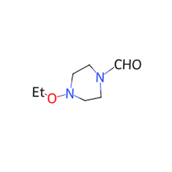 CCON1CCN(C=O)CC1